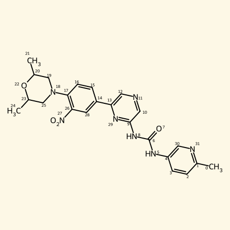 Cc1ccc(NC(=O)Nc2cncc(-c3ccc(N4CC(C)OC(C)C4)c([N+](=O)[O-])c3)n2)cn1